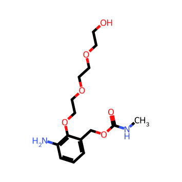 CNC(=O)OCc1cccc(N)c1OCCOCCOCCO